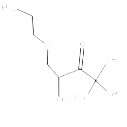 CCCOCC(C)C(=O)C(C)(C)C